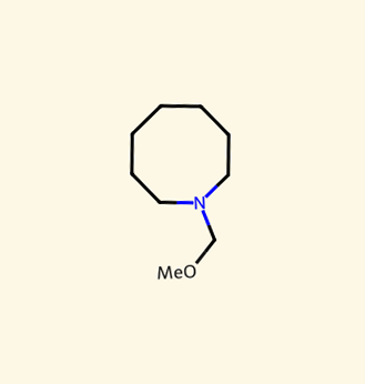 COCN1CCCCCCC1